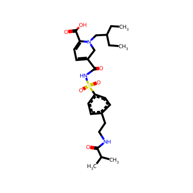 CCC(CC)CN1CC(C(=O)NS(=O)(=O)c2ccc(CCNC(=O)C(C)C)cc2)=CC=C1C(=O)O